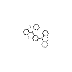 c1ccc2c(c1)Cc1ccccc1N2c1ccc2c(c1)B1c3ccccc3Oc3cccc(c31)O2